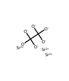 [O-]C([O-])([O-])C([O-])([O-])[O-].[Sr+2].[Sr+2].[Sr+2]